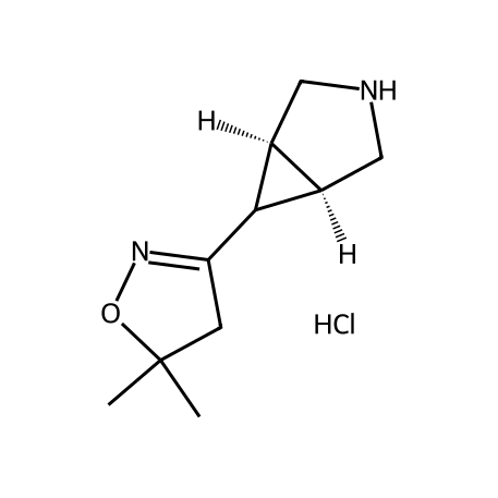 CC1(C)CC(C2[C@H]3CNC[C@@H]23)=NO1.Cl